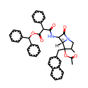 CC(=O)OC1(Cc2ccc3ccccc3c2)C(C)CN2C(=O)C(NC(=O)C(C(=O)OC(c3ccccc3)c3ccccc3)c3ccccc3)[C@H]21